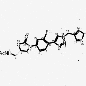 CC(=O)NC[C@H]1CN(c2ccc(-c3cn(CC4=CCN=C4)nn3)c(F)c2)C(=O)O1